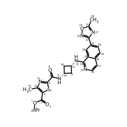 CCCOC(=O)c1sc(C(=O)N[C@H]2C[C@@H](Nc3nccc4ccc(-c5noc(C)n5)cc34)C2)nc1C